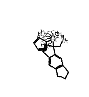 CC(C)C[C]1([Hf]([CH3])([CH3])([CH3])([CH3])([CH3])([CH3])([CH3])[CH]2C=CC=C2)C=Cc2cc3c(cc21)CCC3